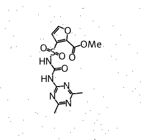 COC(=O)c1occc1S(=O)(=O)NC(=O)Nc1nc(C)nc(C)n1